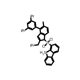 Cc1ccc2c(c1-c1cc(C(C)C)cc(C(C)C)c1)C=C(CC(C)C)[CH]2[Zr]([Cl])([Cl])[c]1cccc2c1[SiH2]c1ccccc1-2